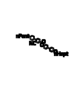 CCCCCCCOc1ccc(-c2ccc(OC(=O)c3ccc(C4CCC(CCCCC)CC4)c(C#N)c3)cc2)cc1